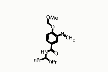 C=Nc1cc(C(=O)NC(CCC)CCC)ccc1OCOC